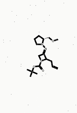 C=CCC1/C(=N/N2CCC[C@@H]2COC)CN1C(=O)OC(C)(C)C